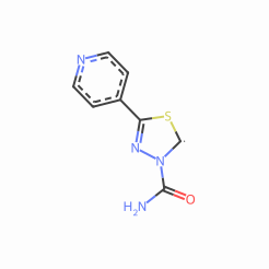 NC(=O)N1[CH]SC(c2ccncc2)=N1